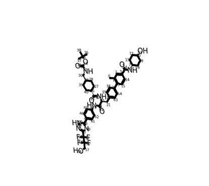 Cc1cc(C(=O)N[C@H]2CC[C@H](O)CC2)ccc1-c1ccc(C[C@H](NC(=O)[C@H]2CC[C@H](CNC(=O)OC(C)(C)C)CC2)C(=O)Nc2ccc(-c3nc(C(F)(F)C(F)(F)CO)n[nH]3)cc2)cc1